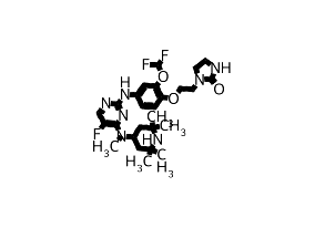 CN(c1nc(Nc2ccc(OCCN3CCNC3=O)c(OC(F)F)c2)ncc1F)C1CC(C)(C)NC(C)(C)C1